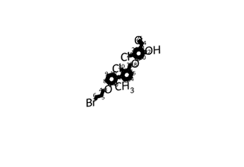 Cc1c(OCCCBr)cccc1-c1cccc(COc2cc(O)c(C=O)cc2Cl)c1Cl